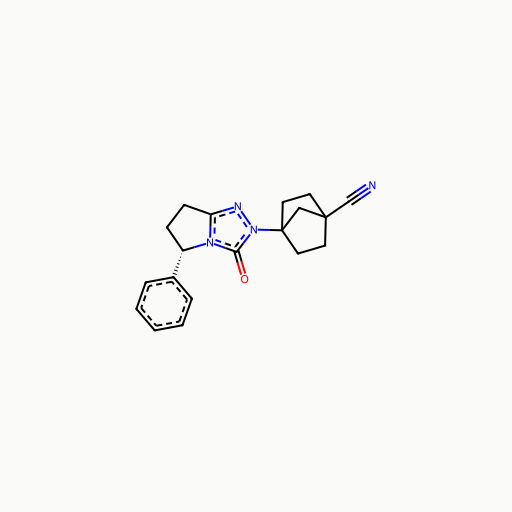 N#CC12CCC(n3nc4n(c3=O)[C@H](c3ccccc3)CC4)(CC1)C2